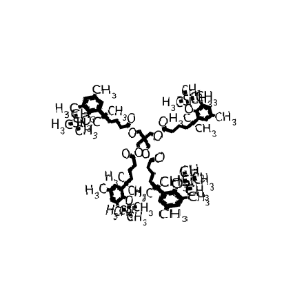 Cc1cc(C)c(O[Si](C)(C)C)c(C(C)(C)CCCC(=O)OCC(COC(=O)CCCC(C)(C)c2cc(C)cc(C)c2O[Si](C)(C)C)(COC(=O)CCCC(C)(C)c2cc(C)cc(C)c2O[Si](C)(C)C)COC(=O)CCCC(C)(C)c2cc(C)cc(C)c2O[Si](C)(C)C)c1